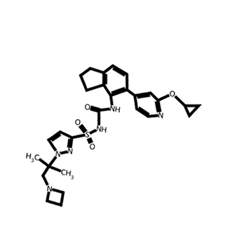 CC(C)(CN1CCC1)n1ccc(S(=O)(=O)NC(=O)Nc2c(-c3ccnc(OC4CC4)c3)ccc3c2CCC3)n1